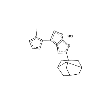 Cl.Cn1cccc1-c1csc2nc(C34CC5CC(CC(C5)C3)C4)cn12